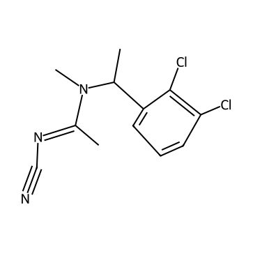 C/C(=N\C#N)N(C)C(C)c1cccc(Cl)c1Cl